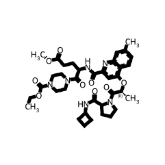 CCOC(=O)N1CCN(C(=O)C(CCC(=O)OC)NC(=O)c2cc(O[C@H](C)C(=O)N3CCCC3C(=O)NC3CCC3)c3ccc(C)cc3n2)CC1